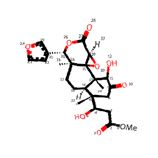 COC(=O)CC(O)[C@@]1(C)CC(=O)C(O)[C@]2(C)[C@@H]1CC[C@@]1(C)[C@H](c3ccoc3)OC(=O)[C@H]3O[C@]312